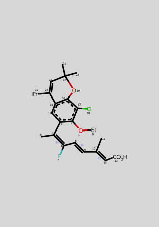 CCOc1c(\C(C)=C(F)/C=C/C(C)=C/C(=O)O)cc2c(c1Cl)OC(C)(C)C=C2C(C)C